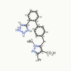 CCCCn1nc(C(C)C)c(C(=O)O)c1Cc1ccc(-c2ccccc2-c2nn[nH]n2)cc1